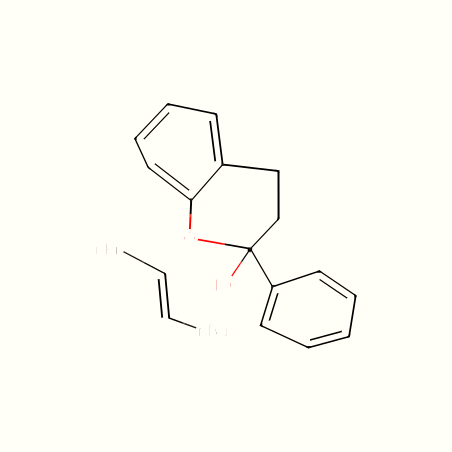 CCCC=CCCCC.OC1(c2ccccc2)CCc2ccccc2O1